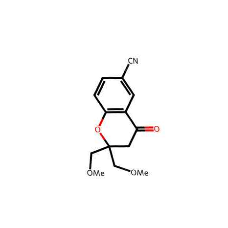 COCC1(COC)CC(=O)c2cc(C#N)ccc2O1